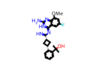 COc1cc(F)cc2/c(=N/C(=N)[C@H]3C[C@@H](c4ccccc4C(C)(C)O)C3)[nH]c(N)nc12